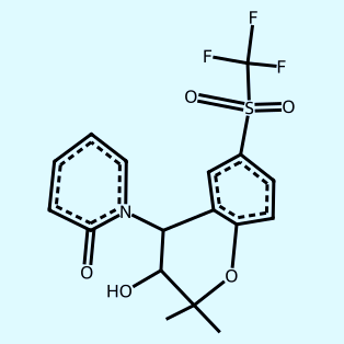 CC1(C)Oc2ccc(S(=O)(=O)C(F)(F)F)cc2C(n2ccccc2=O)C1O